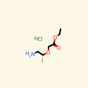 CCOC(=O)CO[C@H](C)CN.Cl